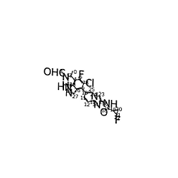 CC(NC=O)c1c(F)c(Cl)c(-c2ccc3nc(NC(=O)C4CC4F)cn3c2)c2cn[nH]c12